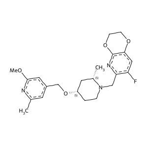 COc1cc(CO[C@H]2CCN(Cc3nc4c(cc3F)OCCO4)[C@@H](C)C2)cc(C)n1